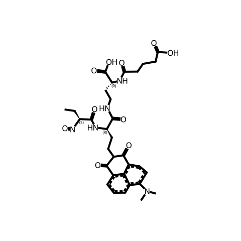 CC[C@H](N=O)C(=O)N[C@H](CCC1C(=O)c2cccc3c(N(C)C)ccc(c23)C1=O)C(=O)NCC[C@@H](NC(=O)CCCC(=O)O)C(=O)O